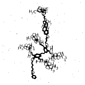 CCCC(OCCCO[C@H]1CC[C@H]2[C@@H]3CCc4cc(OCCCOc5c(CCNC(=O)OC(C)(C)C)cc(CCc6cc(CCNC(=O)OC(C)(C)C)c(OCCCCCCOCc7ccccc7)c(CCNC(=O)OC(C)(C)C)c6)cc5CCNC(=O)OC(C)(C)C)ccc4[C@H]3CC[C@]12C)(C(F)(F)F)C(F)(F)F